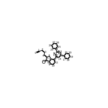 C#C/C=C\C=C1/Cc2c(cccc2-c2cc(-c3ccccc3)nc(-c3ccccc3)n2)C1=O